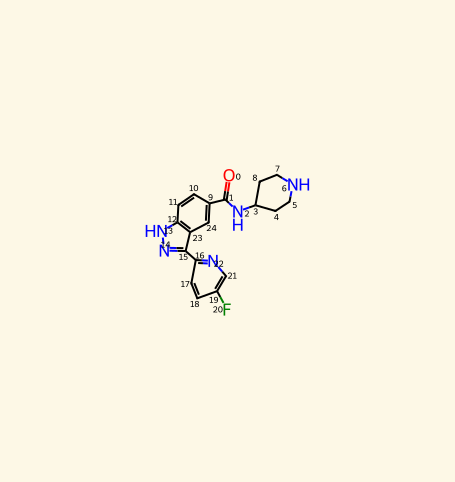 O=C(NC1CCNCC1)c1ccc2[nH]nc(-c3ccc(F)cn3)c2c1